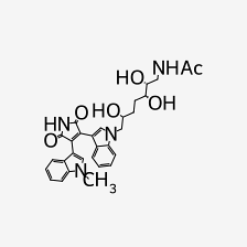 CC(=O)NC[C@@H](O)[C@@H](O)CCC(O)Cn1cc(C2=C(c3cn(C)c4ccccc34)C(=O)NC2=O)c2ccccc21